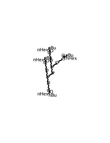 CCCCCCC(CCCC)C(=O)OCCCCOCCCN(CCCOCCCCOC(=O)C(CCCC)CCCCCC)CCCN(C)CCCN(CCCOCCCCOC(=O)C(CCCC)CCCCCC)CCCOCCCCOC(=O)C(CCCC)CCCCCC